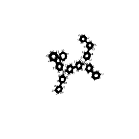 c1ccc(-c2ccc(N(c3ccc(-c4ccc(N(c5ccc(-c6ccccc6)cc5)c5ccc6c(c5)C5(CCCCC5)c5ccccc5-6)cc4)cc3)c3ccc(-c4cccc(-c5ccccc5)c4)cc3)cc2)cc1